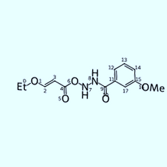 CCOC=CC(=O)ONNC(=O)c1cccc(OC)c1